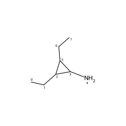 CCC1C(N)C1CC